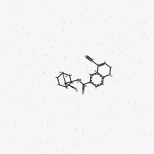 C#CC1=CCOc2ccc(C(=O)N[C@H]3CN4CCC3CC4)cc21